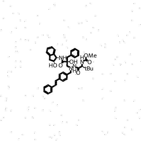 COC(=O)N[C@H](C(=O)NN(Cc1ccc(C=Cc2ccccc2)cc1)C[C@@](O)(Cc1ccccc1)C(=O)N[C@H]1c2ccccc2C[C@H]1O)C(C)(C)C